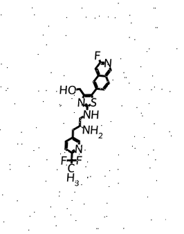 CC(F)(F)c1ccc(C[C@@H](N)CNc2nc(CO)c(-c3ccc4cnc(F)cc4c3)s2)cn1